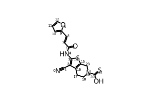 N#Cc1c(NC(=O)C=Cc2ccco2)sc2c1CCN(C(O)=S)C2